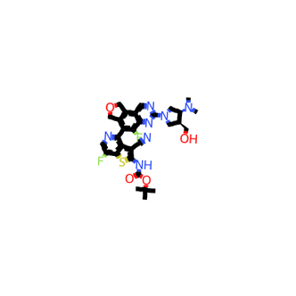 CN(C)[C@@H]1CN(c2ncc3c4c(c(-c5ncc(F)c6sc(NC(=O)OC(C)(C)C)c(C#N)c56)c(F)c3n2)COC4)C[C@@H]1CO